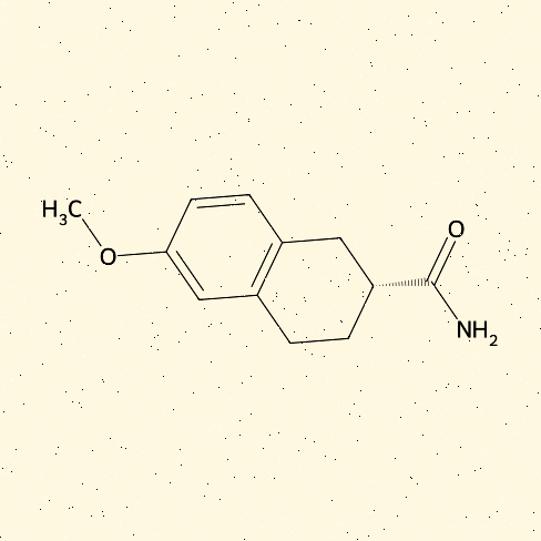 COc1ccc2c(c1)CC[C@@H](C(N)=O)C2